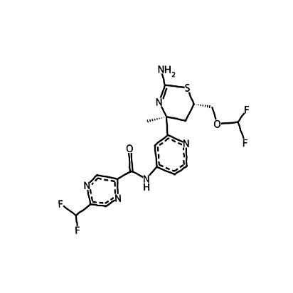 C[C@@]1(c2cc(NC(=O)c3cnc(C(F)F)cn3)ccn2)C[C@@H](COC(F)F)SC(N)=N1